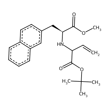 C=CC(N[C@@H](Cc1ccc2ccccc2c1)C(=O)OC)C(=O)OC(C)(C)C